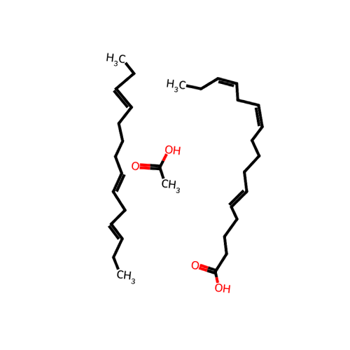 CC(=O)O.CC/C=C\C/C=C\CCC/C=C/CCCC(=O)O.CCC=CCC=CCCCC=CCC